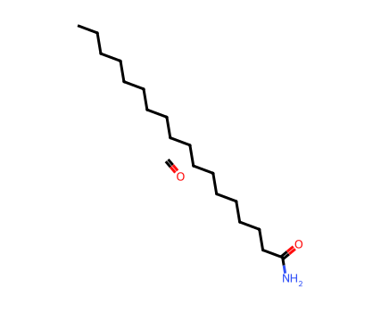 C=O.CCCCCCCCCCCCCCCCCC(N)=O